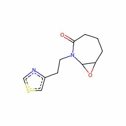 O=C1CCCC2OC2N1CCc1cscn1